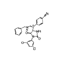 N#Cc1ccc([C@H](CNCc2ccccc2)C2NC(=O)N(c3cc(Cl)cc(Cl)c3)C2=O)cc1